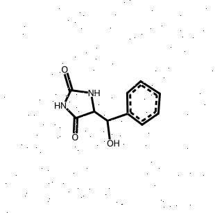 O=C1NC(=O)C(C(O)c2ccccc2)N1